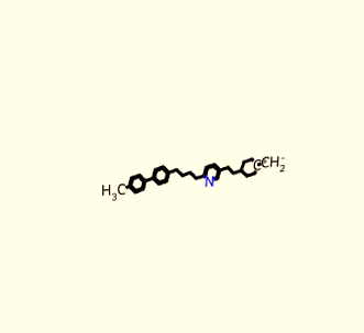 [CH2-][C+]1CCC(CCc2ccc(CCCCc3ccc(-c4ccc(C)cc4)cc3)nc2)CC1